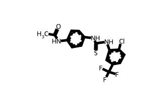 CC(=O)Nc1ccc(NC(=S)Nc2cc(C(F)(F)F)ccc2Cl)cc1